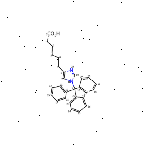 O=C(O)CCCCCc1cn(C(c2ccccc2)(c2ccccc2)c2ccccc2)cn1